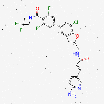 Nc1ccc(C=CC(=O)NCC2Cc3cc(-c4cc(F)c(C(=O)N5CC(F)(F)C5)c(F)c4)cc(Cl)c3O2)cn1